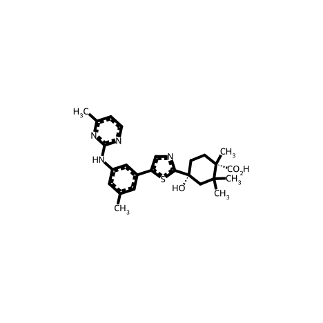 Cc1cc(Nc2nccc(C)n2)cc(-c2cnc([C@@]3(O)CC[C@](C)(C(=O)O)C(C)(C)C3)s2)c1